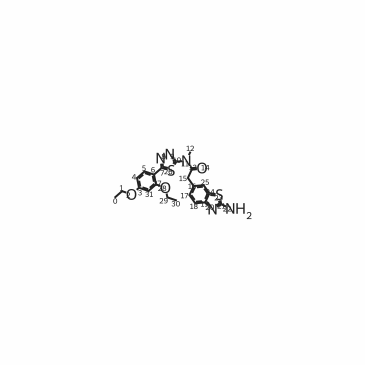 CCOc1ccc(-c2nnc(N(C)C(=O)Cc3ccc4nc(N)sc4c3)s2)c(OCC)c1